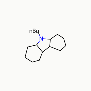 CCCCN1C2CCCCC2C2CCCCC21